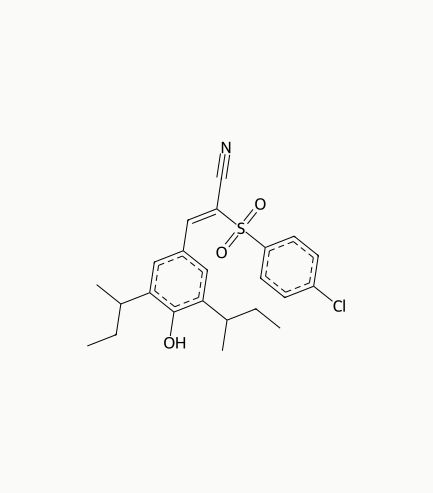 CCC(C)c1cc(C=C(C#N)S(=O)(=O)c2ccc(Cl)cc2)cc(C(C)CC)c1O